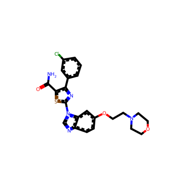 NC(=O)c1sc(-n2cnc3ccc(OCCN4CCOCC4)cc32)nc1-c1cccc(Cl)c1